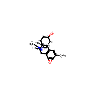 COc1cc2c(c3c1O3)C[C@@H]1[C@@H]3CCC(O)C[C@]23CCN1C